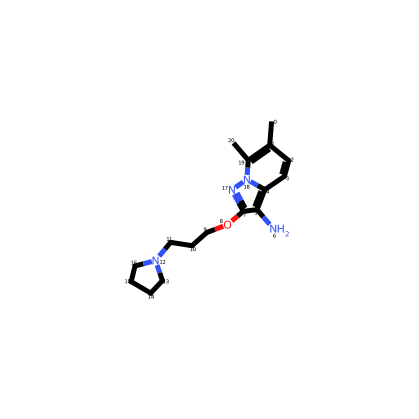 Cc1ccc2c(N)c(OCCCN3CCCC3)nn2c1C